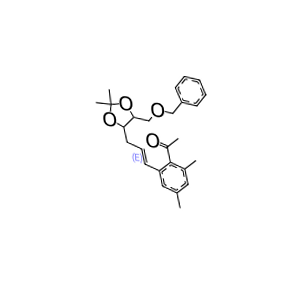 CC(=O)c1c(C)cc(C)cc1/C=C/CC1OC(C)(C)OC1COCc1ccccc1